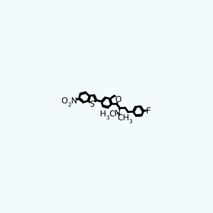 CN(C)C(CCc1ccc(F)cc1)C1OCc2cc(-c3cc4ccc([N+](=O)[O-])cc4s3)ccc21